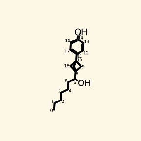 CCCCCC[C@H](O)C12CC(c3ccc(O)cc3)(C1)C2